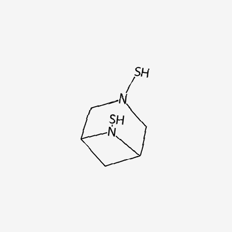 SN1CC2CC(C1)N2S